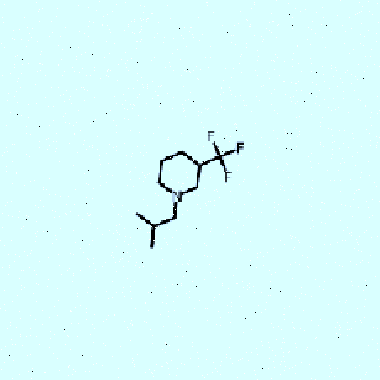 CC(C)CN1CCCC(C(F)(F)F)C1